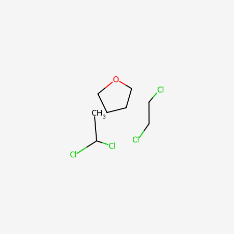 C1CCOC1.CC(Cl)Cl.ClCCCl